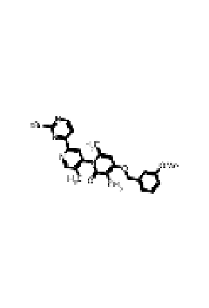 COc1cccc(COc2cc(C)n(-c3cc(-c4ccnc(C(C)(C)C)n4)ncc3C)c(=O)c2C)c1